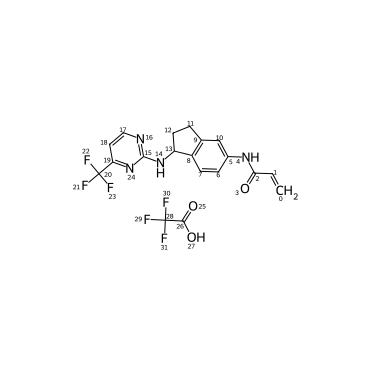 C=CC(=O)Nc1ccc2c(c1)CCC2Nc1nccc(C(F)(F)F)n1.O=C(O)C(F)(F)F